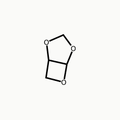 C1OC2COC2O1